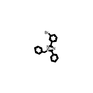 Brc1cccc(-c2nc(-c3ccccc3)n(Cc3ccccc3)n2)c1